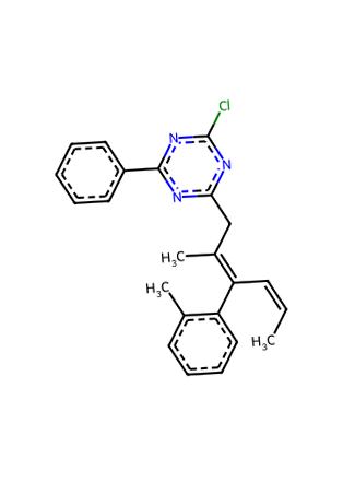 C/C=C\C(=C(\C)Cc1nc(Cl)nc(-c2ccccc2)n1)c1ccccc1C